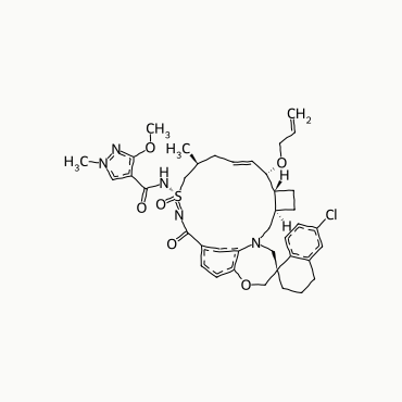 C=CCO[C@H]1/C=C/C[C@H](C)C[S@@](=O)(NC(=O)c2cn(C)nc2OC)=NC(=O)c2ccc3c(c2)N(C[C@@H]2CC[C@H]21)C[C@@]1(CCCc2cc(Cl)ccc21)CO3